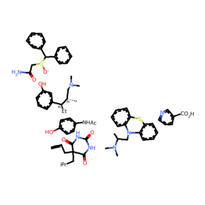 C=CCC1(CC(C)C)C(=O)NC(=O)NC1=O.CC(=O)Nc1ccc(O)cc1.CC(CN1c2ccccc2Sc2ccccc21)N(C)C.CC[C@@H](c1cccc(O)c1)[C@@H](C)CN(C)C.NC(=O)C[S+]([O-])C(c1ccccc1)c1ccccc1.O=C(O)c1cccnc1